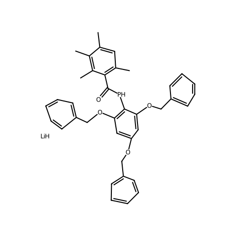 Cc1cc(C)c(C(=O)Pc2c(OCc3ccccc3)cc(OCc3ccccc3)cc2OCc2ccccc2)c(C)c1C.[LiH]